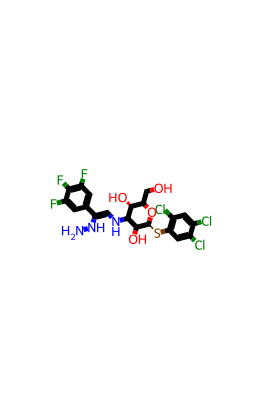 NN/C(=C\NC1C(O)[C@@H](Sc2cc(Cl)c(Cl)cc2Cl)OC(CO)[C@@H]1O)c1cc(F)c(F)c(F)c1